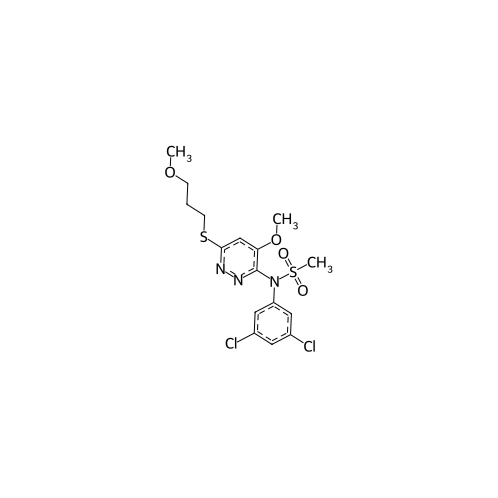 COCCCSc1cc(OC)c(N(c2cc(Cl)cc(Cl)c2)S(C)(=O)=O)nn1